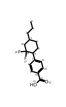 CCCC1CCC(c2ccc(C(=O)O)cc2)C(F)(F)C1